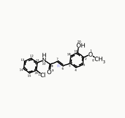 COc1ccc(/C=C/C(=O)Nc2ccccc2Cl)cc1O